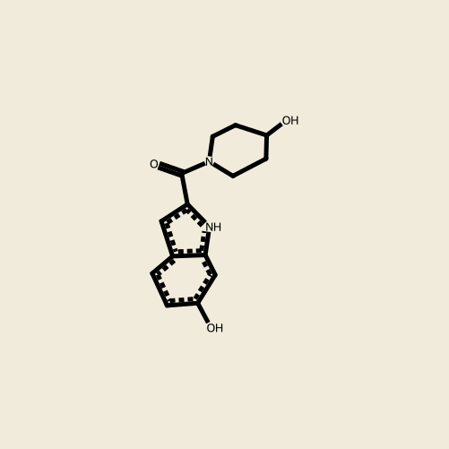 O=C(c1cc2ccc(O)cc2[nH]1)N1CCC(O)CC1